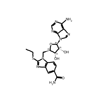 CCSc1nc2cc(C(N)=O)ccc2n1C[C@H]1O[C@@H](n2cnc3c(N)ncnc32)[C@H](O)[C@@H]1O